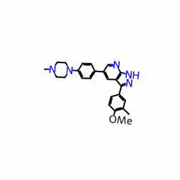 COc1ccc(-c2n[nH]c3ncc(-c4ccc(N5CCN(C)CC5)cc4)cc23)cc1C